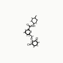 CC1CCC(NC(=O)c2cccc(COc3c(Cl)cccc3Cl)n2)CC1